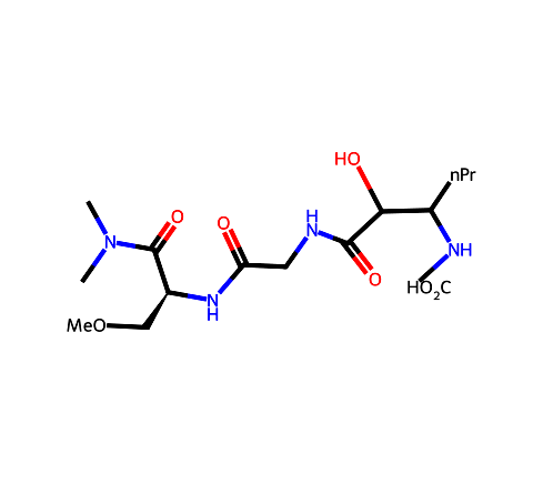 CCCC(NC(=O)O)C(O)C(=O)NCC(=O)N[C@@H](COC)C(=O)N(C)C